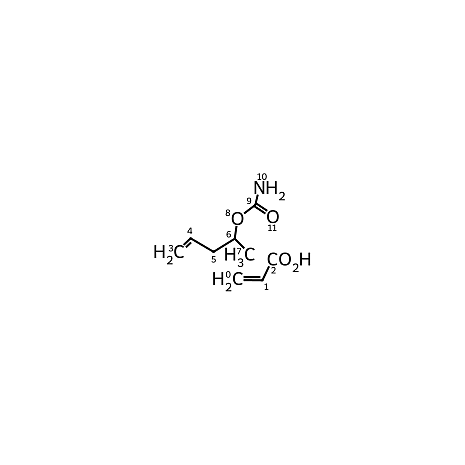 C=CC(=O)O.C=CCC(C)OC(N)=O